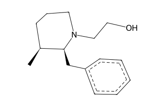 C[C@H]1CCCN(CCO)[C@H]1Cc1ccccc1